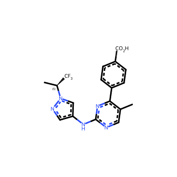 Cc1cnc(Nc2cnn([C@@H](C)C(F)(F)F)c2)nc1-c1ccc(C(=O)O)cc1